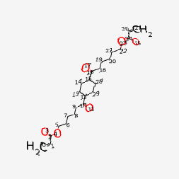 C=CC(=O)OCCCCCC(=O)C1CCC(C(=O)CCCCCOC(=O)C=C)CC1